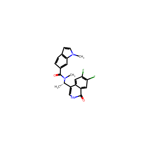 C[C@@H](c1c[nH]c(=O)c2cc(F)c(F)cc12)N(C)C(=O)c1ccc2ccn(C)c2c1